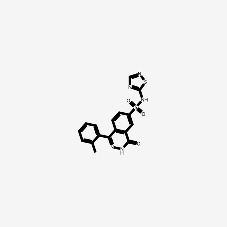 Cc1ccccc1-c1n[nH]c(=O)c2cc(S(=O)(=O)Nc3ncns3)ccc12